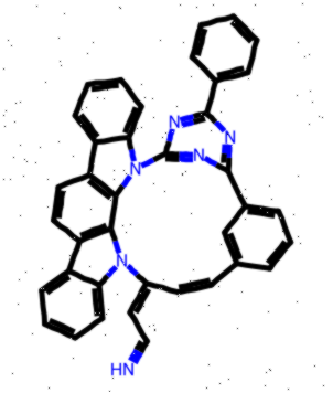 N=C/C=c1\ccc2cccc(c2)c2nc(-c3ccccc3)nc(n2)n2c3ccccc3c3ccc4c5ccccc5n1c4c32